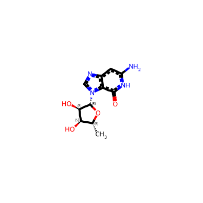 C[C@H]1O[C@@H](n2cnc3cc(N)[nH]c(=O)c32)[C@H](O)[C@@H]1O